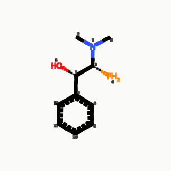 CN(C)[C@H](P)[C@@H](O)c1ccccc1